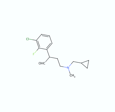 CN(CCC(C=O)c1cccc(Cl)c1F)CC1CC1